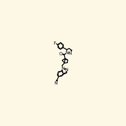 N#Cc1ccc2c(cnn2CC23CC(C2)C(C(=O)N2N=CCC2c2ccc(F)cc2)C3)c1